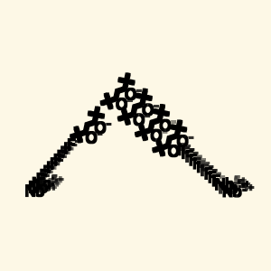 CC(C)(C)C([O-])CC([O-])C(C)(C)C.CC(C)(C)C([O-])CC([O-])C(C)(C)C.CC(C)(C)C([O-])CC([O-])C(C)(C)C.CC(C)(C)C([O-])CC([O-])C(C)(C)C.CC(C)(C)C([O-])CC([O-])C(C)(C)C.[F-].[F-].[F-].[F-].[F-].[F-].[F-].[F-].[F-].[F-].[F-].[F-].[F-].[F-].[F-].[F-].[F-].[F-].[F-].[F-].[Nb+5].[Nb+5].[Nb+5].[Nb+5].[Nb+5].[Nb+5]